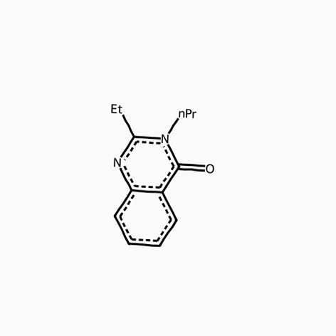 CCCn1c(CC)nc2ccccc2c1=O